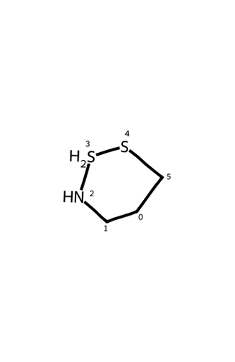 C1CN[SH2]SC1